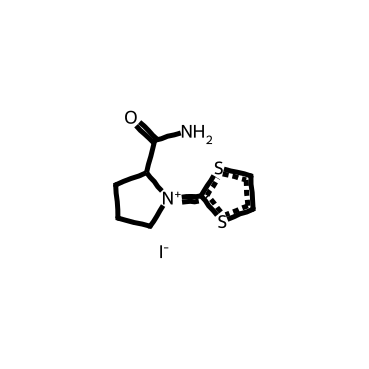 NC(=O)C1CCC[N+]1=c1sccs1.[I-]